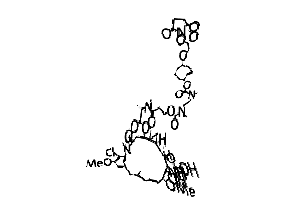 COc1cc2cc(c1Cl)N(C)C(=O)C[C@H](OC(=O)[C@H](C)N(C)C(=O)CCOC(=O)N(C)CCN(C)C(=O)OC1/C=C/CC(OCC(=O)ON3C(=O)CCC3=O)CCC1)[C@]1(C)C[C@H]1[C@H](C)[C@@H]1C[C@@](O)(NC(O)O1)[C@H](OC)/C=C/C=C(\C)C2